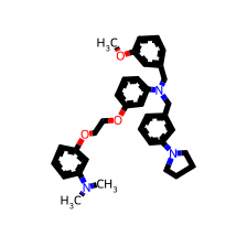 COc1cccc(CN(Cc2cccc(N3CCCC3)c2)c2cccc(OCCOc3cccc(N(C)C)c3)c2)c1